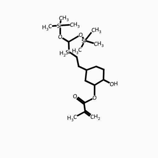 C=C(C)C(=O)OC1CC(CC[SiH2]C(O[Si](C)(C)C)O[Si](C)(C)C)CCC1O